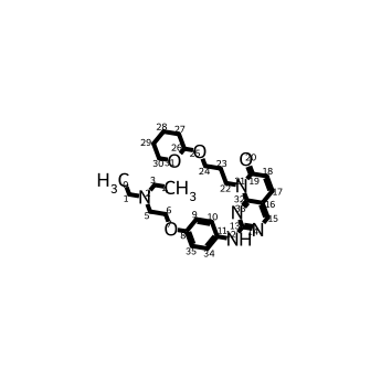 CCN(CC)CCOc1ccc(Nc2ncc3ccc(=O)n(CCCOC4CCCCO4)c3n2)cc1